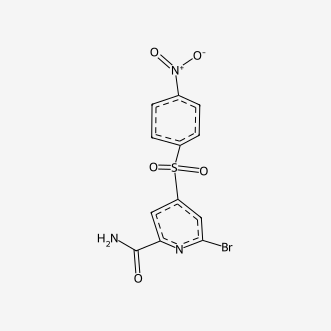 NC(=O)c1cc(S(=O)(=O)c2ccc([N+](=O)[O-])cc2)cc(Br)n1